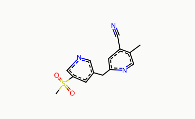 Cc1cnc(Cc2cncc(S(C)(=O)=O)c2)cc1C#N